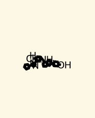 OC1CCC(N2CCc3c(cccc3Nc3ccc(Cl)c(-c4ncc(-c5ccccc5)[nH]4)c3)C2)CC1